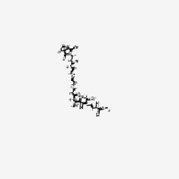 CC(C)C(=O)[C@H](CCCNC(N)=O)NC(=O)[C@@H](NC(=O)CCOCCOCCNC(=O)CCN1C(=O)CC(CC(C)(C)C)C1=O)C(C)C